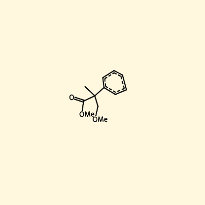 COCC(C)(C(=O)OC)c1ccccc1